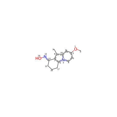 COc1ccn2c3c(c(C)c2c1)C(=NO)CCC3